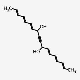 CC=CC=CC=CC(O)C#CC(O)C=CC=CC=CC